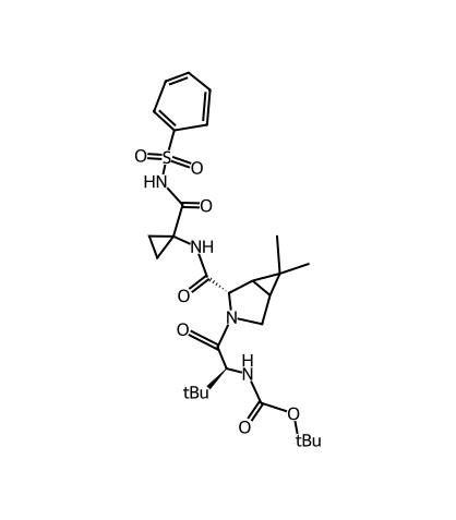 CC(C)(C)OC(=O)N[C@H](C(=O)N1CC2C([C@H]1C(=O)NC1(C(=O)NS(=O)(=O)c3ccccc3)CC1)C2(C)C)C(C)(C)C